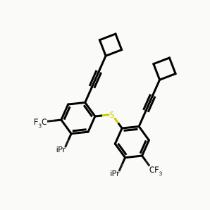 CC(C)c1cc(Sc2cc(C(C)C)c(C(F)(F)F)cc2C#CC2CCC2)c(C#CC2CCC2)cc1C(F)(F)F